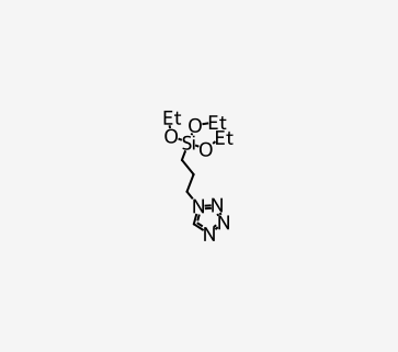 CCO[Si](CCCn1cnnn1)(OCC)OCC